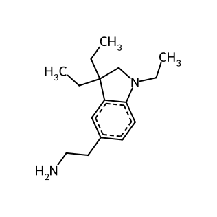 CCN1CC(CC)(CC)c2cc(CCN)ccc21